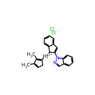 CC1=CC[C]([Hf+2][CH]2C(n3ncc4ccccc43)=Cc3ccccc32)=C1C.[Cl-].[Cl-]